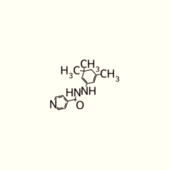 CC1=CC(NNC(=O)c2ccncc2)=CC(C)(C)C1